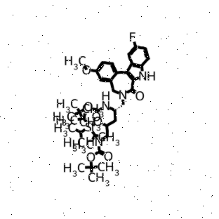 COc1ccc2c(c1)CN(C[C@H](CC(CNC(=O)OC(C)(C)C)O[Si](C(C)C)(C(C)C)C(C)C)NC(=O)OC(C)(C)C)C(=O)c1[nH]c3ccc(F)cc3c1-2